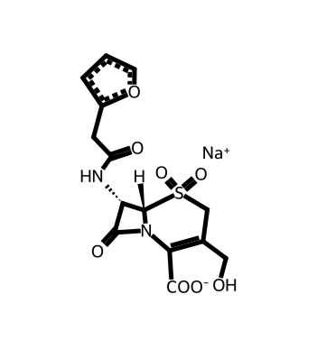 O=C(Cc1ccco1)N[C@H]1C(=O)N2C(C(=O)[O-])=C(CO)CS(=O)(=O)[C@@H]12.[Na+]